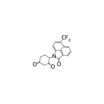 O=C1CCC(N2C(=O)c3cccc4c(C(F)(F)F)ccc2c34)C(=O)C1